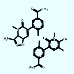 CNC(=O)c1ccc(C)c(-c2cc(F)c(C#N)n(C)c2=O)c1.CNC(=O)c1ccc(C)c(C2=CC3NN=C(N)C3N(C)C2=O)c1